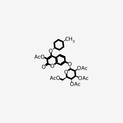 CC(=O)OC[C@H]1O[C@H](Oc2ccc3c(O[C@H]4CC[C@@H](C)CC4)c(OC(C)=O)c(=O)oc3c2)[C@@H](OC(C)=O)[C@@H](OC(C)=O)[C@@H]1OC(C)=O